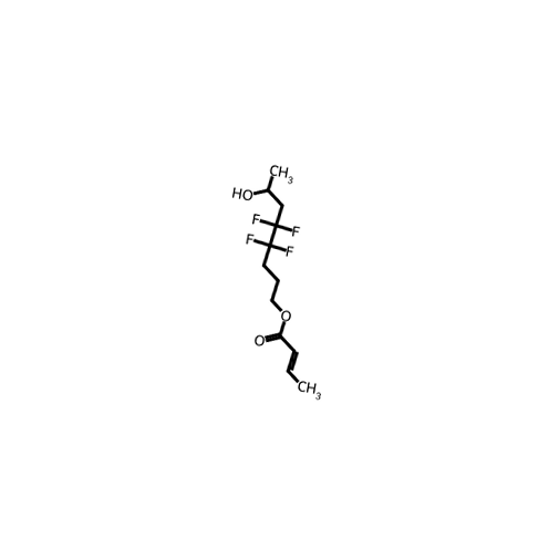 CC=CC(=O)OCCCC(F)(F)C(F)(F)CC(C)O